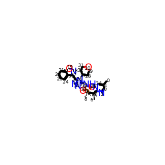 Cc1cnc([C@@H](C)[C@H](C)S(=O)(=O)Nc2nnc(-c3noc4ccccc34)n2C2CCOCC2)nc1